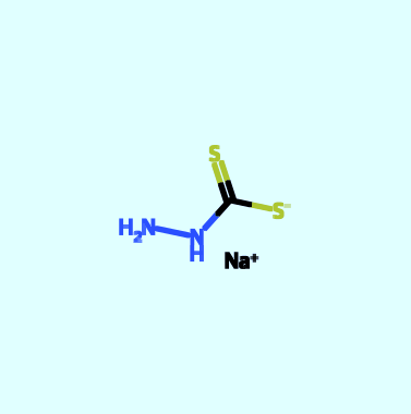 NNC(=S)[S-].[Na+]